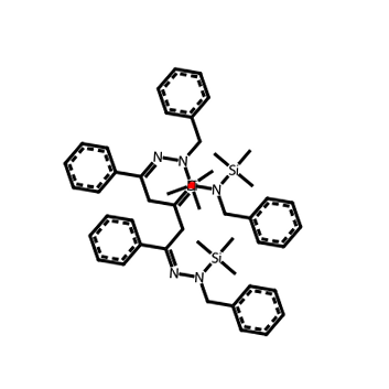 C[Si](C)(C)N(Cc1ccccc1)N=C(C/C(=N\N(Cc1ccccc1)[Si](C)(C)C)c1ccccc1)C/C(=N\N(Cc1ccccc1)[Si](C)(C)C)c1ccccc1